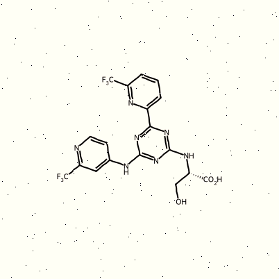 O=C(O)[C@H](CO)Nc1nc(Nc2ccnc(C(F)(F)F)c2)nc(-c2cccc(C(F)(F)F)n2)n1